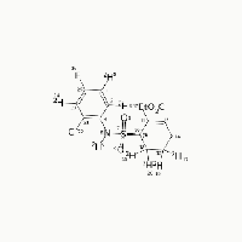 [2H]c1c([2H])c(N([2H])S(=O)(=O)[C@H]2C(C(=O)OCC)=CCC([2H])([2H])C2([2H])[2H])c(Cl)c([2H])c1F